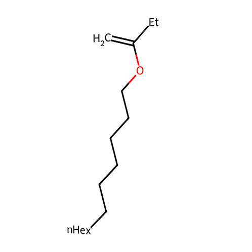 C=C(CC)OCCCCCCCCCCCC